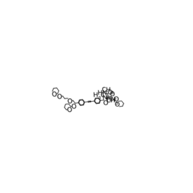 CNC(=O)[C@@](C)(C(=O)NOC1CCCCO1)N(C)C(=O)c1ccc(C#Cc2ccc(C(COCCCOC3CCCCO3)OC3CCCCO3)cc2)cc1